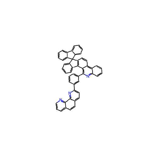 c1cc(-c2ccc3ccc4cccnc4c3n2)cc(-c2nc3ccccc3c3ccc4c(c23)-c2ccccc2C42c3ccccc3-c3ccccc32)c1